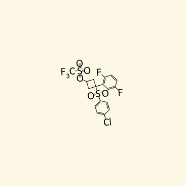 O=S(=O)(OC1CC(c2cc(F)ccc2F)(S(=O)(=O)c2ccc(Cl)cc2)C1)C(F)(F)F